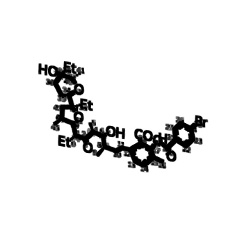 CC[C@@H](C(=O)[C@@H](C)[C@@H](O)[C@H](C)CCc1ccc(C)c(OC(=O)c2ccc(Br)cc2)c1C(=O)O)[C@H]1O[C@](CC)([C@H]2CC[C@](O)(CC)[C@H](C)O2)C[C@@H]1C